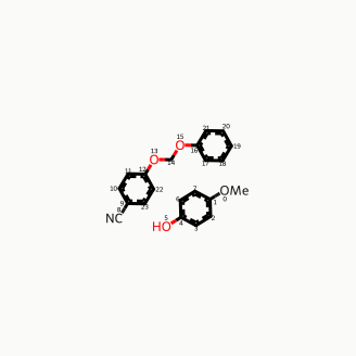 COc1ccc(O)cc1.N#Cc1ccc(OCOc2ccccc2)cc1